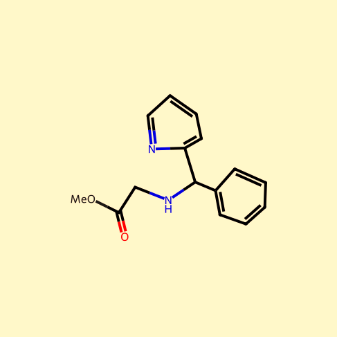 COC(=O)CNC(c1ccccc1)c1ccccn1